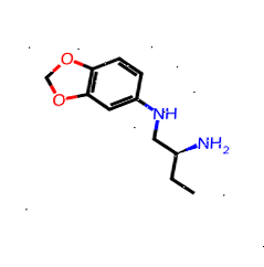 CC[C@H](N)CNc1ccc2c(c1)OCO2